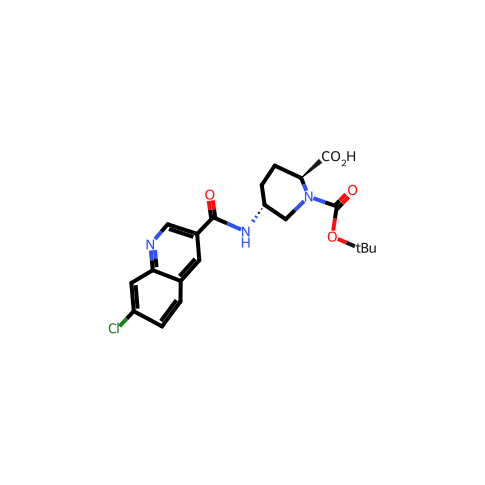 CC(C)(C)OC(=O)N1C[C@H](NC(=O)c2cnc3cc(Cl)ccc3c2)CC[C@H]1C(=O)O